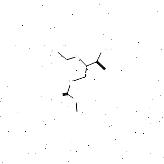 COC(=O)C(CNC(=O)OC(C)(C)C)NCC(C)C